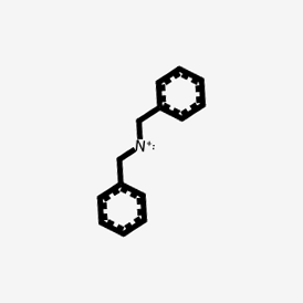 c1ccc(C[N+]Cc2ccccc2)cc1